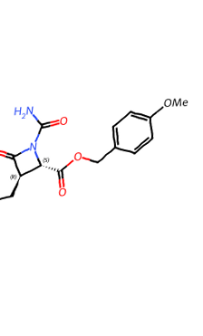 C=CC[C@H]1C(=O)N(C(N)=O)[C@@H]1C(=O)OCc1ccc(OC)cc1